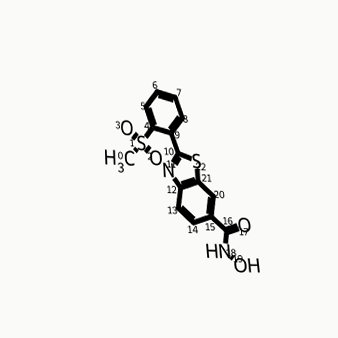 CS(=O)(=O)c1ccccc1-c1nc2ccc(C(=O)NO)cc2s1